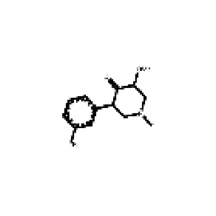 COC1CN(C)CC(c2cccc(C(F)(F)F)c2)C1=O